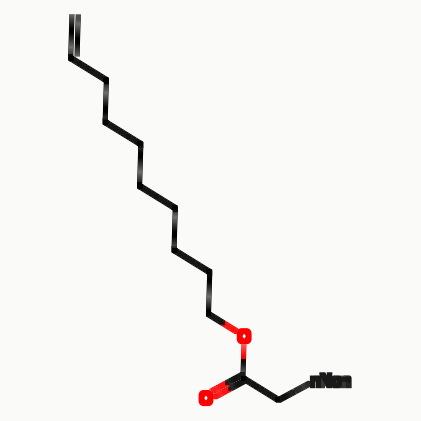 C=CCCCCCCCCOC(=O)CCCCCCCCCC